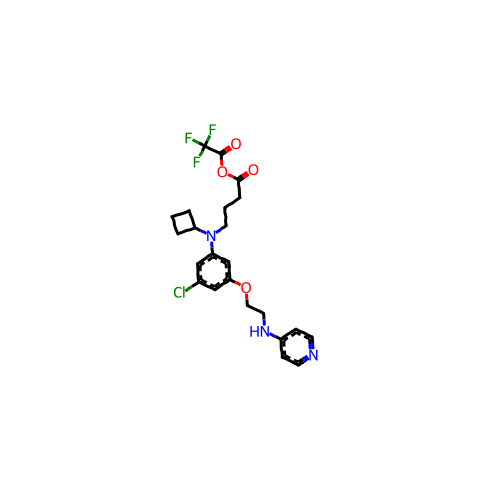 O=C(CCCN(c1cc(Cl)cc(OCCNc2ccncc2)c1)C1CCC1)OC(=O)C(F)(F)F